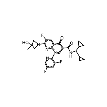 CC1(O)CN(c2nc3c(cc2F)c(=O)c(C(=O)NC(C2CC2)C2CC2)cn3-c2ncc(F)cc2F)C1